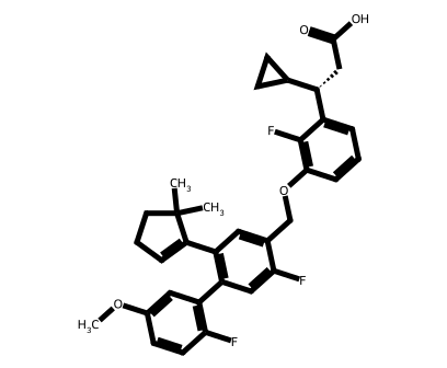 COc1ccc(F)c(-c2cc(F)c(COc3cccc([C@@H](CC(=O)O)C4CC4)c3F)cc2C2=CCCC2(C)C)c1